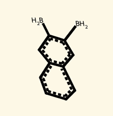 Bc1cc2ccccc2cc1B